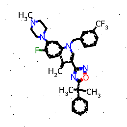 C=C1C(c2noc(C(C)(C)c3ccccc3)n2)=CN(Cc2cccc(C(F)(F)F)c2)c2cc(N3CCN(C)CC3)c(F)cc21